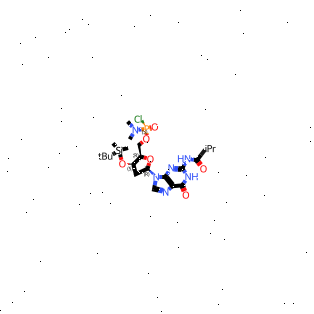 CC(C)C(=O)Nc1nc2c(ncn2[C@H]2C[C@H](O[Si](C)(C)C(C)(C)C)[C@@H](CO[P@](=O)(Cl)N(C)C)O2)c(=O)[nH]1